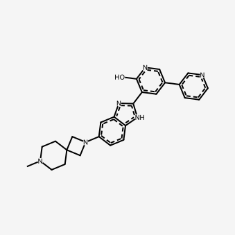 CN1CCC2(CC1)CN(c1ccc3[nH]c(-c4cc(-c5cccnc5)cnc4O)nc3c1)C2